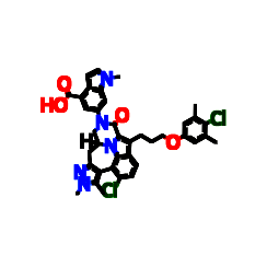 Cc1cc(OCCCc2c3n4c5c(c(Cl)ccc25)-c2c(nn(C)c2C)C[C@@H]4CN(c2cc(C(=O)O)c4ccn(C)c4c2)C3=O)cc(C)c1Cl